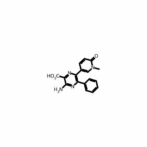 Cn1cc(-c2nc(C(=O)O)c(N)nc2-c2ccccc2)ccc1=O